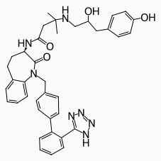 CC(C)(CC(=O)N[C@@H]1CCc2ccccc2N(Cc2ccc(-c3ccccc3-c3nnn[nH]3)cc2)C1=O)NCC(O)Cc1ccc(O)cc1